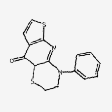 O=C1c2ccsc2N=C2C1SCCN2c1ccccc1